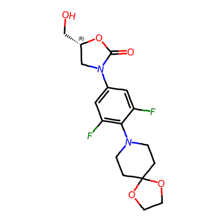 O=C1O[C@@H](CO)CN1c1cc(F)c(N2CCC3(CC2)OCCO3)c(F)c1